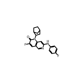 O=c1c(F)cc2cnc(Nc3ccc(F)cc3)cc2n1C1CC2CCC1C2